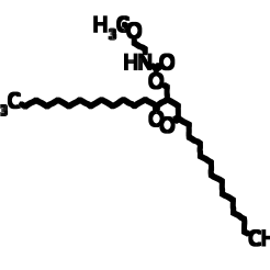 CCCCCCCCCCCCCC(=O)CC(COC(=O)NCCOC)C(=O)CCCCCCCCCCCCC